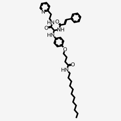 CCCCCCCCCCCCNC(=O)CCCOc1ccc(NC(NC(=O)C=Cc2ccccc2)C(=O)NCCc2ccccn2)cc1